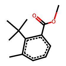 COC(=O)c1cccc(C)c1C(C)(C)C